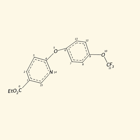 CCOC(=O)c1ccc(Oc2ccc(OC(F)(F)F)cc2)nc1